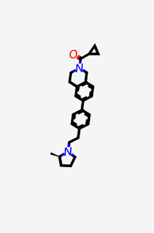 C[C@@H]1CCCN1CCc1ccc(-c2ccc3c(c2)CCN(C(=O)C2CC2)C3)cc1